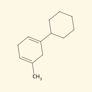 CC1=CCC=C(C2CCCCC2)C1